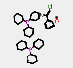 C1CCC(P(C2CCCCC2)C2CCCCC2)CC1.C1CCC(P(C2CCCCC2)C2CCCCC2)CC1.ClC=[C]([Ru])c1ccccc1.[C]=O